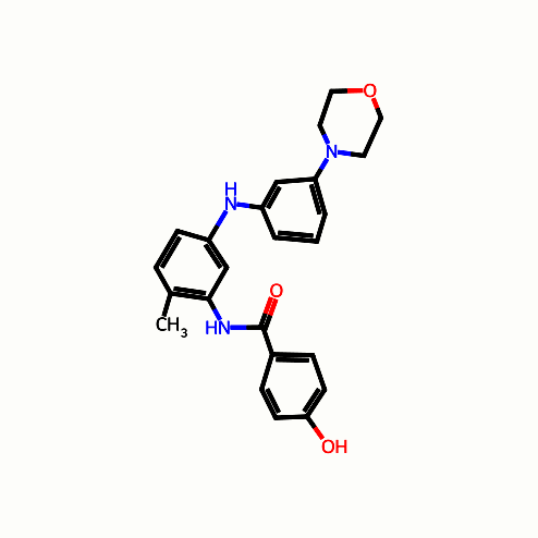 Cc1ccc(Nc2cccc(N3CCOCC3)c2)cc1NC(=O)c1ccc(O)cc1